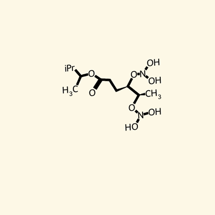 CC(C)C(C)OC(=O)CC[C@@H](ON(O)O)[C@@H](C)ON(O)O